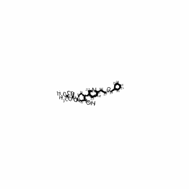 CC(C)(C)OC(=O)ON1CCC(c2ccc(CCOCc3ccccc3)nc2)C(O)C1